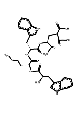 CSCC[C@@H](NC(=O)[C@H](N)Cc1c[nH]c2ccccc12)C(=O)N[C@H](Cc1c[nH]c2ccccc12)C(=O)N[C@@H](CC(C(=O)O)C(=O)O)C(N)=O